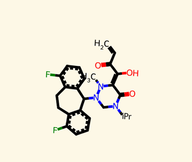 C=CC(=O)/C(O)=C1/C(=O)N(C(C)C)CN(C2c3cccc(F)c3CCc3c(F)cccc32)N1C